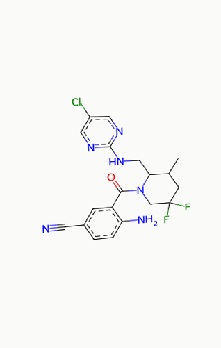 CC1CC(F)(F)CN(C(=O)c2cc(C#N)ccc2N)C1CNc1ncc(Cl)cn1